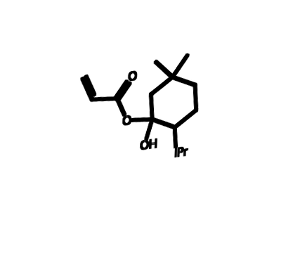 C=CC(=O)OC1(O)CC(C)(C)CCC1C(C)C